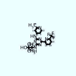 [2H]C([2H])(Nc1nc(Nc2ccnc(C)c2)nc(-c2cccc(C(F)(F)F)n2)n1)C(C)(C)O